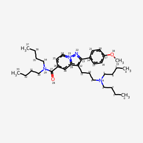 CCCCN(CCCC)CCCc1c(-c2ccc(OC)cc2)nn2ccc(C(=O)N(CCCC)CCCC)cc12